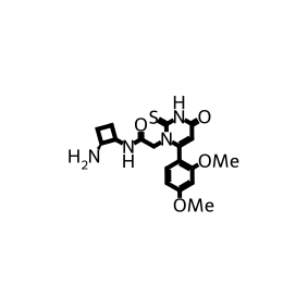 COc1ccc(-c2cc(=O)[nH]c(=S)n2CC(=O)NC2CC[C@@H]2N)c(OC)c1